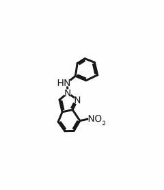 O=[N+]([O-])c1cccc2cn(Nc3ccccc3)nc12